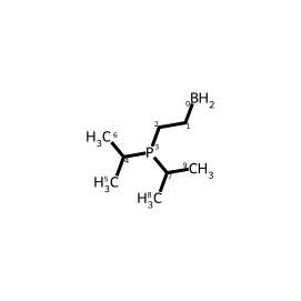 BCCP(C(C)C)C(C)C